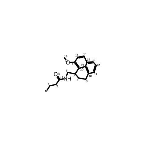 CCCC(=O)NCC1CCc2cccc3ccc(OC)c1c23